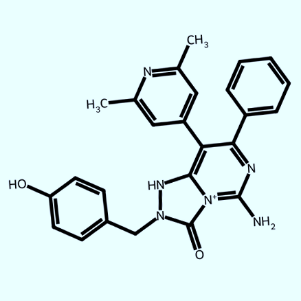 Cc1cc(-c2c(-c3ccccc3)nc(N)[n+]3c(=O)n(Cc4ccc(O)cc4)[nH]c23)cc(C)n1